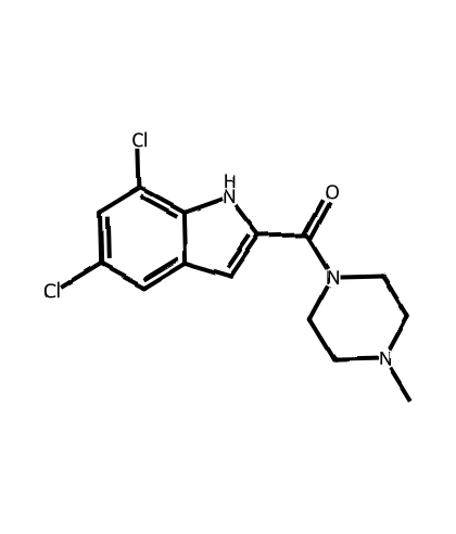 CN1CCN(C(=O)c2cc3cc(Cl)cc(Cl)c3[nH]2)CC1